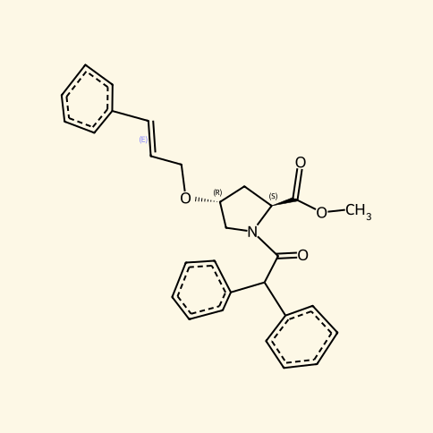 COC(=O)[C@@H]1C[C@@H](OC/C=C/c2ccccc2)CN1C(=O)C(c1ccccc1)c1ccccc1